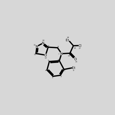 CCc1ccccc1N(Cc1nnco1)C(=O)C(Cl)CC